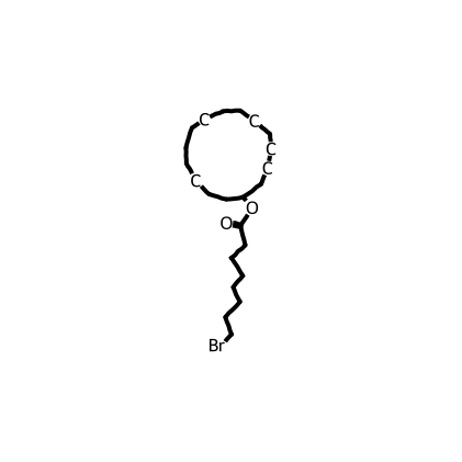 O=C(CCCCCCCBr)OC1CCCCCCCCCCCCCC1